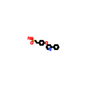 O=S(O)CCc1ccc(Oc2ccnc(-c3ccccc3)c2)cc1